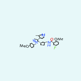 COc1ccc(Cn2ncc(-c3ccncc3C)c2-c2cccc(CNC(=O)c3cc(F)ccc3OC)c2)cc1